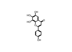 O=c1cc(-c2ccc(O)cc2)oc2c(O)c(O)c(O)cc12